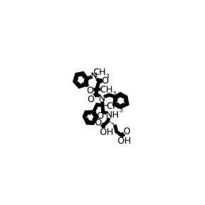 CN1C(=O)C(C)(C(=O)N(Cc2ccccc2)[C@](C)(Cc2ccccc2)C(=O)N[C@H](CCC(=O)O)C(=O)O)Oc2ccccc21